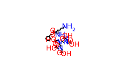 NCCCC[C@H](N)C(=O)OCc1ccccc1.O=C(O)CN(CCN(CC(=O)O)CC(=O)O)CCN(CC(=O)O)CC(=O)O